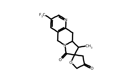 CC1C2Cc3ncc(C(F)(F)F)cc3CN2C(=O)C12CC(=O)CO2